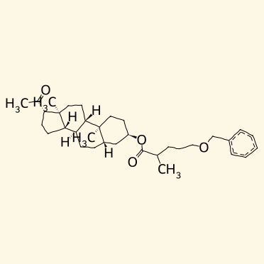 CC(=O)[C@H]1CC[C@H]2[C@@H]3CC[C@H]4C[C@H](OC(=O)C(C)CCCOCc5ccccc5)CC[C@]4(C)[C@H]3CC[C@]12C